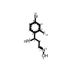 C[CH]CC(C/C=N/O)c1ccc(Br)cc1F